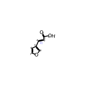 O=C(O)/C=C/c1ccoc1